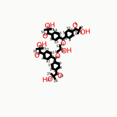 CC(C)(O)C(=O)c1ccc(C(OCC(O)COC(c2ccc(C(=O)C(C)(C)O)cc2)c2ccc(C(=O)C(C)(C)O)cc2)c2ccc(C(=O)C(C)(C)O)cc2)cc1